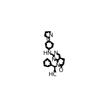 C#CC(c1ccccc1)n1c(=O)ccc2cnc(Nc3ccc(-n4cccn4)cc3)nc21